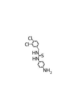 Nc1ccc(NC(=S)NCc2ccc(Cl)c(Cl)c2)cc1